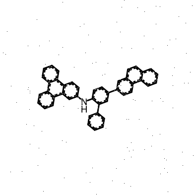 c1ccc(-c2cc(-c3ccc4c(ccc5ccccc54)c3)ccc2Nc2ccc3c4ccccc4c4ccccc4c3c2)cc1